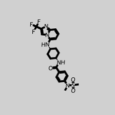 CN(c1ccc(C(=O)N[C@H]2CC[C@@H](Nc3cccc4nc(C(F)(F)F)cn34)CC2)cc1)S(C)(=O)=O